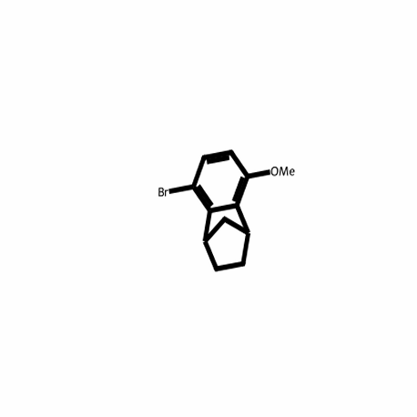 COc1ccc(Br)c2c1C1CCC2C1